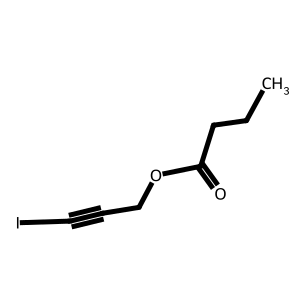 CCCC(=O)OCC#CI